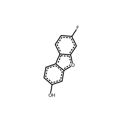 Oc1ccc2c(c1)oc1cc(F)ccc12